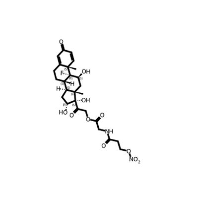 C[C@]12C=CC(=O)C=C1CC[C@H]1[C@@H]3C[C@@H](O)[C@](O)(C(=O)COC(=O)CNC(=O)CCO[N+](=O)[O-])[C@@]3(C)C[C@H](O)[C@@]12F